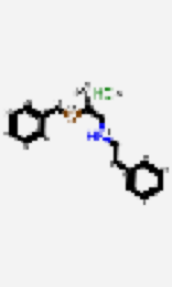 CC(C)C(CNCCc1ccccc1)SCc1ccccc1.Cl